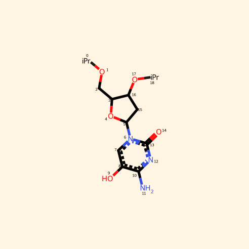 CC(C)OCC1OC(n2cc(O)c(N)nc2=O)CC1OC(C)C